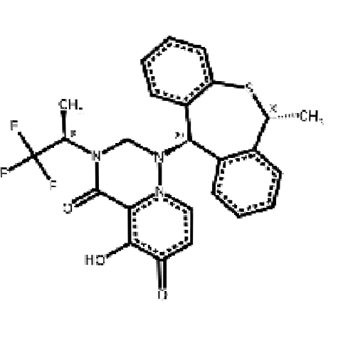 C[C@H]1Sc2ccccc2[C@H](N2CN([C@H](C)C(F)(F)F)C(=O)c3c(O)c(=O)ccn32)c2ccccc21